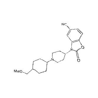 COCC1CCC(N2CCC(n3c(=O)oc4ccc(C#N)cc43)CC2)CC1